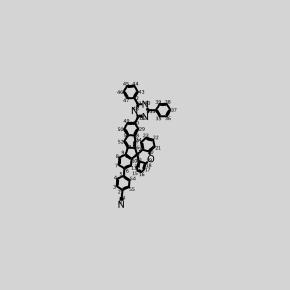 N#Cc1ccc(-c2ccc3c(c2)C2(c4ccccc4Oc4ccccc42)c2cc4cc(-c5nc(-c6ccccc6)nc(-c6ccccc6)n5)ccc4cc2-3)cc1